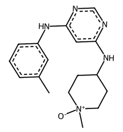 Cc1cccc(Nc2cc(NC3CC[N+](C)([O-])CC3)ncn2)c1